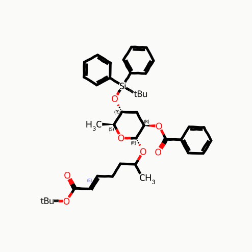 CC(CC/C=C/C(=O)OC(C)(C)C)O[C@@H]1O[C@@H](C)[C@H](O[Si](c2ccccc2)(c2ccccc2)C(C)(C)C)C[C@H]1OC(=O)c1ccccc1